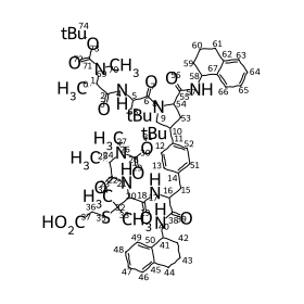 C[C@@H](C(=O)NC(C(=O)N1CC(c2ccc(CC(NC(=O)C(NC(=O)[C@H](C)N(C)C(=O)OC(C)(C)C)C(C)(C)SCC(=O)O)C(=O)NC3CCCc4ccccc43)cc2)CC1C(=O)NC1CCCc2ccccc21)C(C)(C)C)N(C)C(=O)OC(C)(C)C